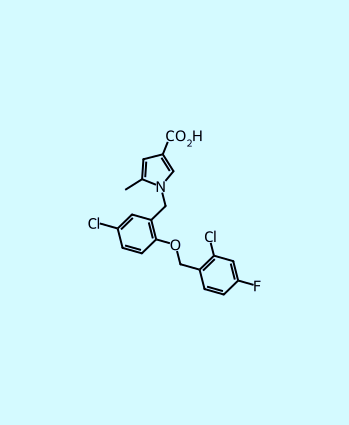 Cc1cc(C(=O)O)cn1Cc1cc(Cl)ccc1OCc1ccc(F)cc1Cl